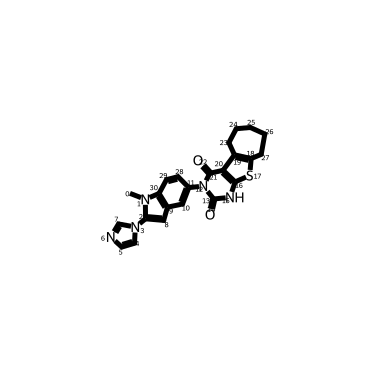 Cn1c(-n2ccnc2)cc2cc(-n3c(=O)[nH]c4sc5c(c4c3=O)CCCCC5)ccc21